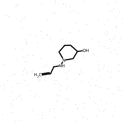 C=CCNN1CCCC(O)C1